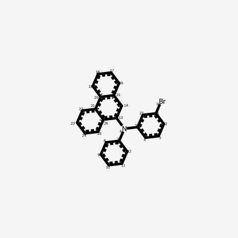 Brc1cccc(N(c2ccccc2)c2cc3ccccc3c3ccccc23)c1